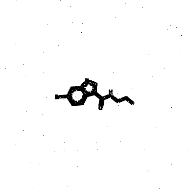 CCCNC(=O)c1onc2cc(Br)ccc12